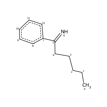 CCCCCC(=N)c1[c]cccc1